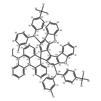 CCN1c2ccccc2N2c3ccccc3C3(c4cccc1c42)c1cc(N(c2ccc(C(C)(C)C)cc2)c2cccc(C)c2)c2c(oc4ccccc42)c1-c1c3cc(N(c2ccc(C(C)(C)C)cc2)c2cccc(C)c2)c2oc3ccccc3c12